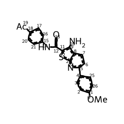 COc1ccc(-c2ccc3c(N)c(C(=O)Nc4ccc(C(C)=O)cc4)sc3n2)cc1